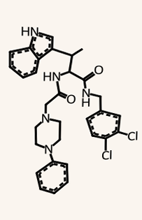 CC(c1c[nH]c2ccccc12)C(NC(=O)CN1CCN(c2ccccc2)CC1)C(=O)NCc1ccc(Cl)c(Cl)c1